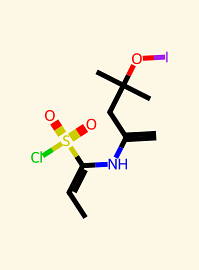 C=C(CC(C)(C)OI)N/C(=C\C)S(=O)(=O)Cl